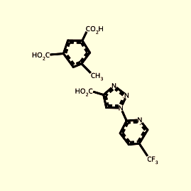 Cc1cc(C(=O)O)cc(C(=O)O)c1.O=C(O)c1cn(-c2ccc(C(F)(F)F)cn2)nn1